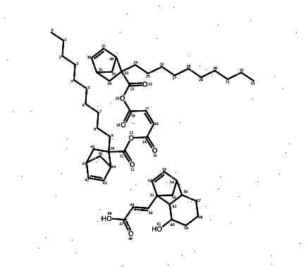 CCCCCCCCCCC1(C(=O)OC(=O)/C=C\C(=O)OC(=O)C2(CCCCCCCCCC)CC3C=CC2C3)CC2C=CC1C2.O=C(O)C=CC12C=CC(C1)C1CCCC(O)C12